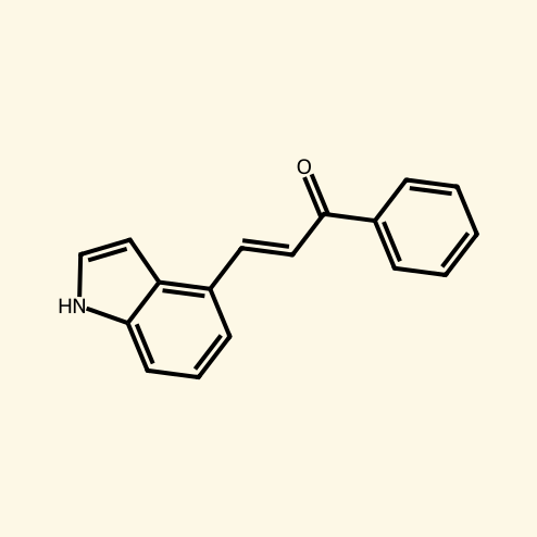 O=C(C=Cc1cccc2[nH]ccc12)c1ccccc1